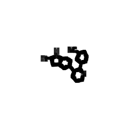 CCc1cc2cc(-c3cccnc3-c3cccc(C#N)c3)ccc2[nH]1